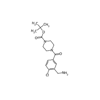 CC(C)(C)OC(=O)N1CCN(C(=O)c2ccc(Cl)c(CN)c2)CC1